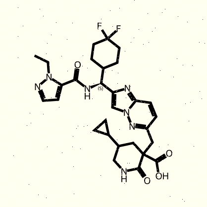 CCn1nccc1C(=O)N[C@H](c1cn2nc(CC3(C(=O)O)CC(C4CC4)CNC3=O)ccc2n1)C1CCC(F)(F)CC1